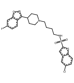 O=S(=O)(NCCCCN1CCC(c2noc3cc(F)ccc23)CC1)c1cc2cc(Cl)ccc2s1